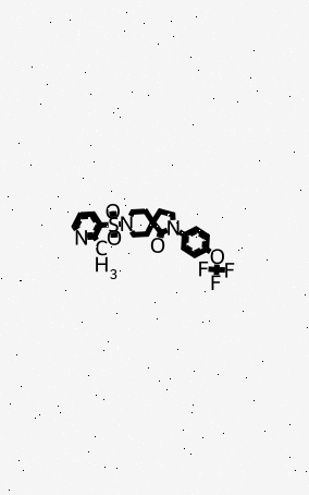 Cc1ncccc1S(=O)(=O)N1CCC2(CCN(c3ccc(OC(F)(F)F)cc3)C2=O)CC1